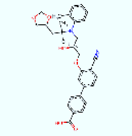 Cc1ccccc1N(C[C@H](O)COc1cc(-c2ccc(C(=O)O)cc2)ccc1C#N)C(C)(C)CC1=COCO1